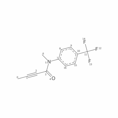 CC#CC(=O)N(C)c1ccc(C(F)(F)F)cc1